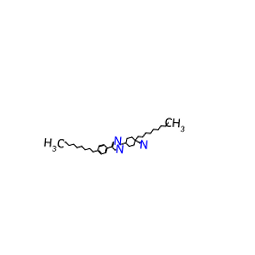 CCCCCCCCCc1ccc(-c2cnc(C3CCC(C#N)(CCCCCCCCC)CC3)nc2)cc1